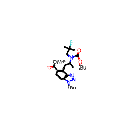 COC(=O)c1ccc2c(nnn2C(C)(C)C)c1CC(C)N(CC(C)(C)F)C(=O)OC(C)(C)C